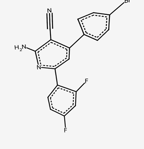 N#Cc1c(-c2ccc(Br)cc2)cc(-c2ccc(F)cc2F)nc1N